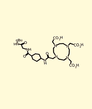 CCCCNC(=O)CNC(=O)C1CCC(NC(=O)CN2CCN(CC(=O)O)CCN(CC(=O)O)CCN(CC(=O)O)CC2)CC1